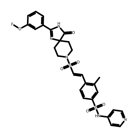 Cc1cc(S(=O)(=O)Nc2ccncc2)ccc1/C=C/S(=O)(=O)N1CCC2(CC1)N=C(c1cccc(OF)c1)NC2=O